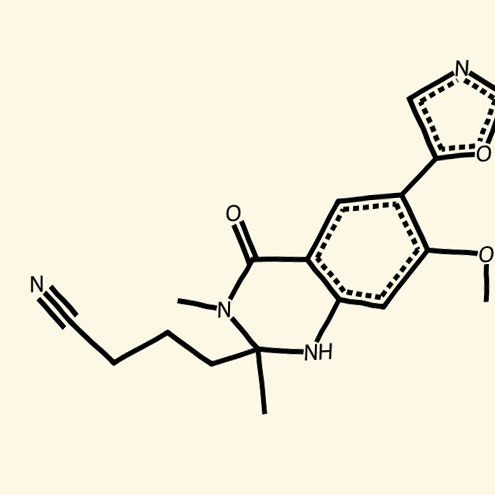 COc1cc2c(cc1-c1cnco1)C(=O)N(C)C(C)(CCCC#N)N2